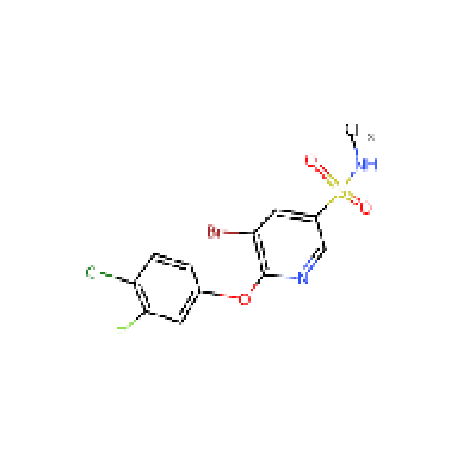 CNS(=O)(=O)c1cnc(Oc2ccc(Cl)c(F)c2)c(Br)c1